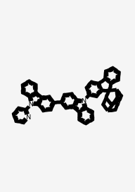 c1ccc(-n2c3ccccc3c3cc(-c4ccc5c(c4)c4ccccc4n5-c4ccc5c(c4)C4(c6ccccc6-5)C5CC6CC(C5)CC4C6)ccc32)nc1